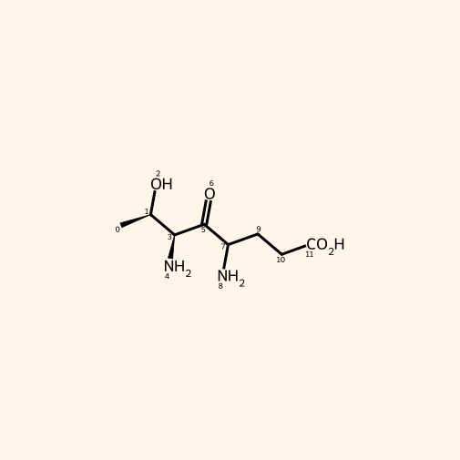 C[C@@H](O)[C@H](N)C(=O)C(N)CCC(=O)O